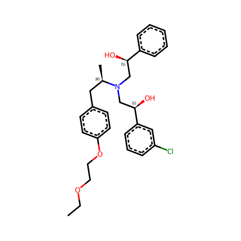 CCOCCOc1ccc(C[C@@H](C)N(C[C@@H](O)c2ccccc2)C[C@@H](O)c2cccc(Cl)c2)cc1